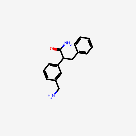 NCc1cccc(C(Cc2ccccc2)C(N)=O)c1